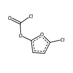 O=C(Cl)Oc1ccc(Cl)o1